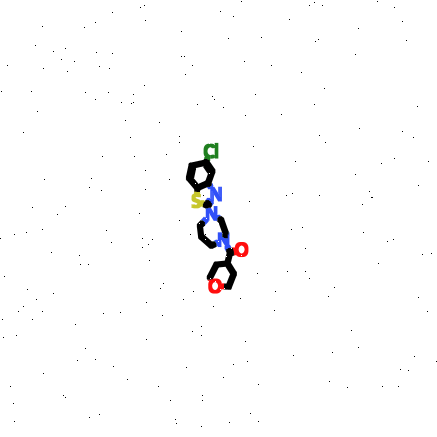 O=C(C1CCOCC1)N1CCCN(C2=NC3C=C(Cl)C=CC3S2)CC1